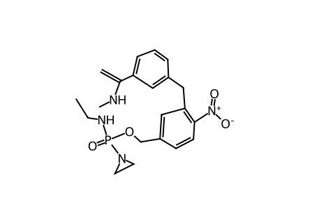 C=C(NC)c1cccc(Cc2cc(COP(=O)(NCC)N3CC3)ccc2[N+](=O)[O-])c1